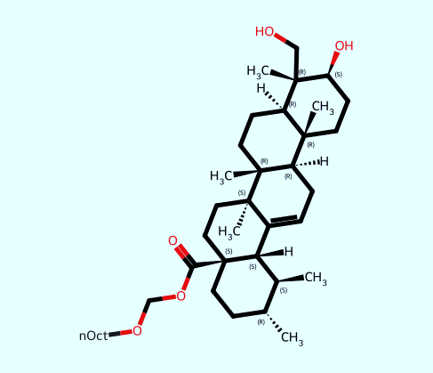 CCCCCCCCOCOC(=O)[C@]12CC[C@@H](C)[C@H](C)[C@H]1C1=CC[C@@H]3[C@@]4(C)CC[C@H](O)[C@@](C)(CO)[C@@H]4CC[C@@]3(C)[C@]1(C)CC2